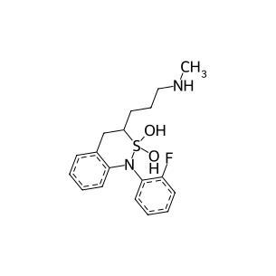 CNCCCC1Cc2ccccc2N(c2ccccc2F)S1(O)O